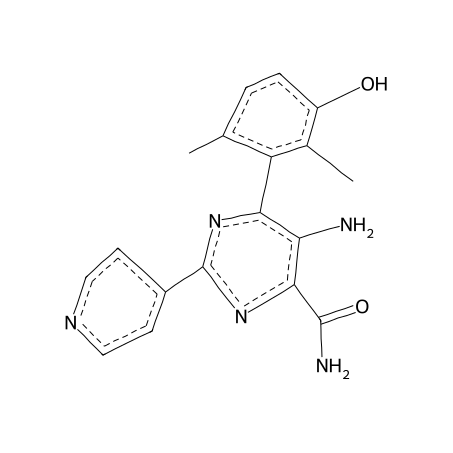 Cc1ccc(O)c(C)c1-c1nc(-c2ccncc2)nc(C(N)=O)c1N